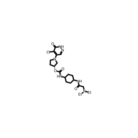 CCN(CC)CC(=O)NC1CCC(NC(=O)O[C@@H]2CCN(c3cn[nH]c(=O)c3Cl)C2)CC1